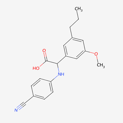 CCCc1cc(OC)cc(C(Nc2ccc(C#N)cc2)C(=O)O)c1